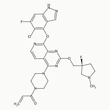 C=CC(=O)N1CCN(c2nc(OC[C@]3(F)CCN(C)C3)nc3c(Oc4c(Cl)c(F)cc5[nH]ncc45)nccc23)CC1